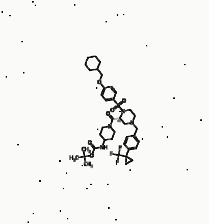 CC(C)(C)OC(=O)NC1CCN(C(=O)[C@H]2CN(Cc3ccc(C4(C(F)(F)F)CC4)cc3)CCN2S(=O)(=O)c2ccc(OCC3CCCCC3)cc2)CC1